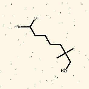 CCCCC(O)CCCCC(C)(C)CO